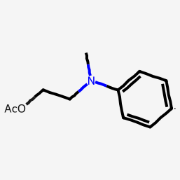 CC(=O)OCCN(C)c1cc[c]cc1